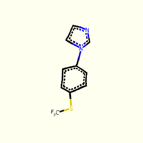 FC(F)(F)Sc1ccc(-n2ccnc2)cc1